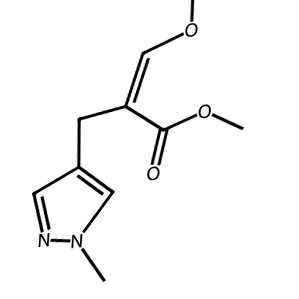 CO/C=C(/Cc1cnn(C)c1)C(=O)OC